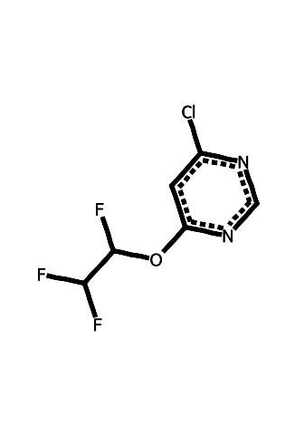 FC(F)C(F)Oc1cc(Cl)ncn1